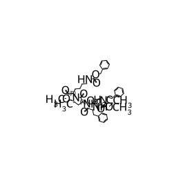 COC(=O)[C@@H](CCCCNC(=O)OCc1ccccc1)N1C(=O)[C@H](NC(=O)C(Cc2ccccc2)NC(=O)CN(CCc2ccccc2)C(=O)OC(C)(C)C)CC1C